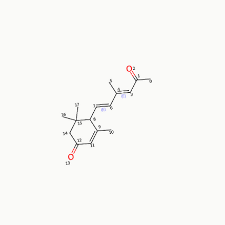 CC(=O)/C=C(C)/C=C/C1C(C)=CC(=O)CC1(C)C